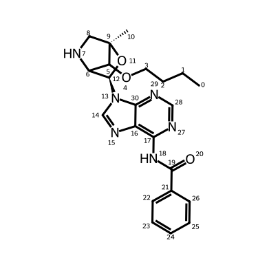 CCCCOC1C2NC[C@@]1(C)O[C@H]2n1cnc2c(NC(=O)c3ccccc3)ncnc21